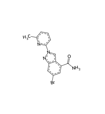 Cc1cccc(-n2cc3c(C(N)=O)cc(Br)cc3n2)n1